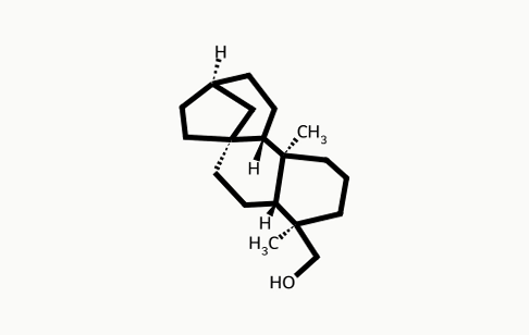 C[C@@]1(CO)CCC[C@@]2(C)[C@H]1CC[C@@]13CC[C@@H](CC[C@@H]12)C3